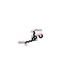 CCCCCC(=O)C=CC1C(OC2CCCCO2)C[C@H]2CC(=CCCCC(=O)OC)C[C@H]12